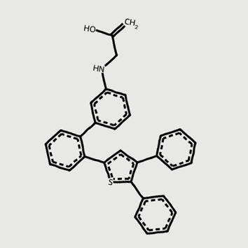 C=C(O)CNc1cccc(-c2ccccc2-c2cc(-c3ccccc3)c(-c3ccccc3)s2)c1